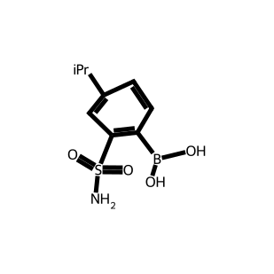 CC(C)c1ccc(B(O)O)c(S(N)(=O)=O)c1